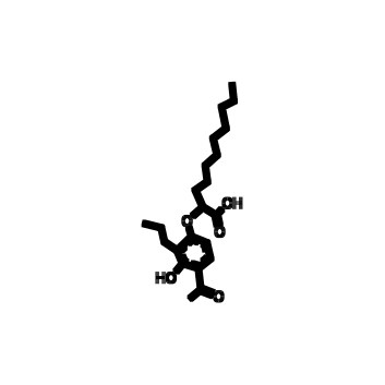 CCCCCCCCCC(Oc1ccc(C(C)=O)c(O)c1CCC)C(=O)O